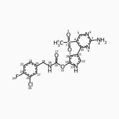 CS(=O)(=O)c1cnc(N)nc1-c1c[nH]c(OC(=O)NCc2ccc(F)c(Cl)c2)c1